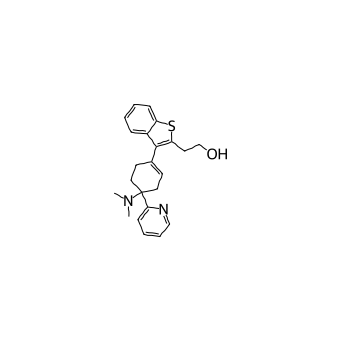 CN(C)C1(c2ccccn2)CC=C(c2c(CCO)sc3ccccc23)CC1